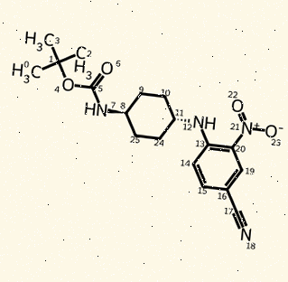 CC(C)(C)OC(=O)N[C@H]1CC[C@H](Nc2ccc(C#N)cc2[N+](=O)[O-])CC1